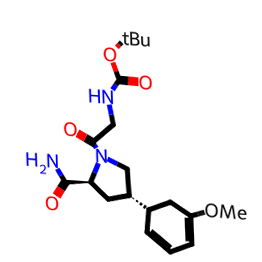 COC1=CC=CC([C@@H]2C[C@@H](C(N)=O)N(C(=O)CNC(=O)OC(C)(C)C)C2)C1